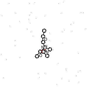 c1ccc(-c2ccc3c(c2)oc2cc(-c4nc(-c5ccc6c(c5)oc5ccccc56)nc(-c5ccccc5-n5c6ccccc6c6ccccc65)n4)ccc23)cc1